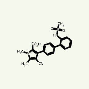 Cc1c(C#N)c(-c2ccc(-c3ccccc3NS(C)(=O)=O)cc2)c(C(=O)O)n1C